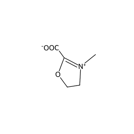 C[N+]1=C(C(=O)[O-])OCC1